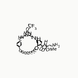 COC(=O)[C@H](CCN)NC(=O)c1ccc2cc1OCCCCCCOc1ccc(cc1)CNc1nc(nc(OCC(F)(F)F)n1)N2